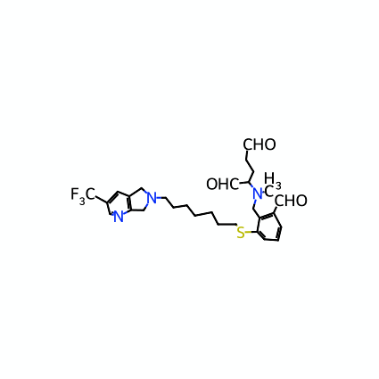 CN(Cc1c(C=O)cccc1SCCCCCCCN1Cc2cc(C(F)(F)F)cnc2C1)C(C=O)CCC=O